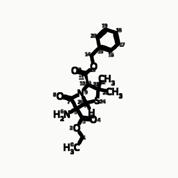 CCOC(=O)C1(N)C(=O)N2[C@@H](C(=O)OCc3ccccc3)C(C)(C)S[C@@H]21